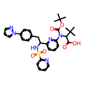 CC(C)(C)OC(=O)N(c1cccc(C(Cc2ccc(-n3cccn3)cc2)NS(=O)(=O)c2ccccn2)n1)C(C(=O)O)C(C)(C)C